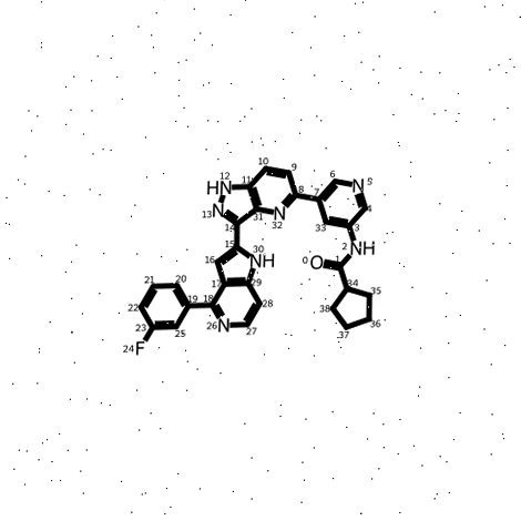 O=C(Nc1cncc(-c2ccc3[nH]nc(-c4cc5c(-c6cccc(F)c6)nccc5[nH]4)c3n2)c1)C1CCCC1